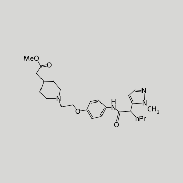 CCCC(C(=O)Nc1ccc(OCCN2CCC(CC(=O)OC)CC2)cc1)c1ccnn1C